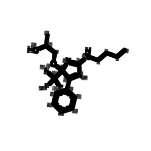 CCCCNC1=NC(OCC(C)O)(C(F)(F)F)C(c2ccccc2)=N1